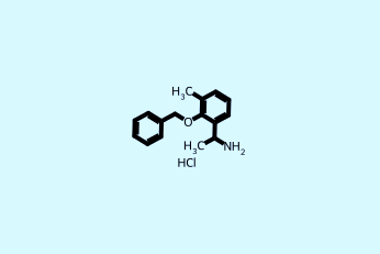 Cc1cccc(C(C)N)c1OCc1ccccc1.Cl